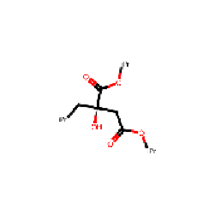 CC(C)C[C@@](O)(CC(=O)OC(C)C)C(=O)OC(C)C